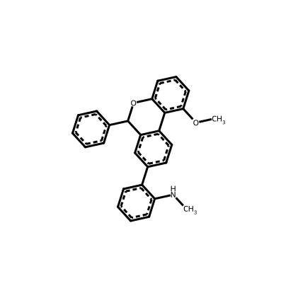 CNc1ccccc1-c1ccc2c(c1)C(c1ccccc1)Oc1cccc(OC)c1-2